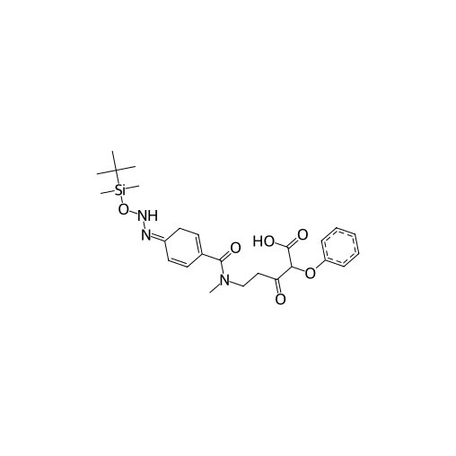 CN(CCC(=O)C(Oc1ccccc1)C(=O)O)C(=O)C1=CCC(=NNO[Si](C)(C)C(C)(C)C)C=C1